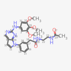 COc1cc(Nc2ncc3ccn(-c4cccc(CC(=O)NCCNC(C)=O)c4)c3n2)cc(OC)c1OC